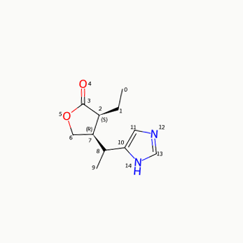 CC[C@@H]1C(=O)OC[C@@H]1C(C)c1cnc[nH]1